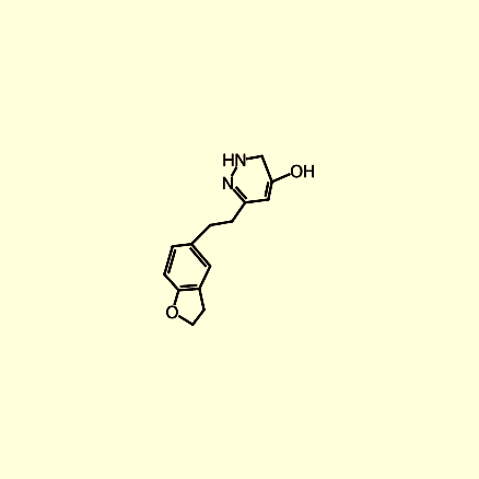 OC1=CC(CCc2ccc3c(c2)CCO3)=NNC1